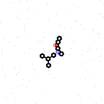 c1ccc(-c2cc(-c3ccccc3)cc(-c3ccc(-n4c5ccccc5c5cc6c(cc54)oc4cc5ccccc5cc46)cc3)c2)cc1